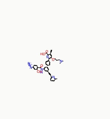 C#Cc1cc(OCCCN(C)C)c(-c2ccccc2)nc1C(=O)O.Cc1cccc(C#Cc2cccc(NC(=O)c3ccc(N=[N+]=[N-])cc3O)c2)n1